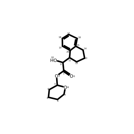 O=C(OC1CCCCO1)C(O)C1CCCc2ccccc21